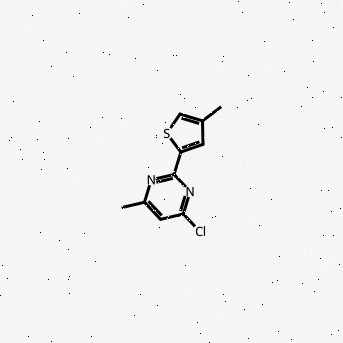 Cc1csc(-c2nc(C)cc(Cl)n2)c1